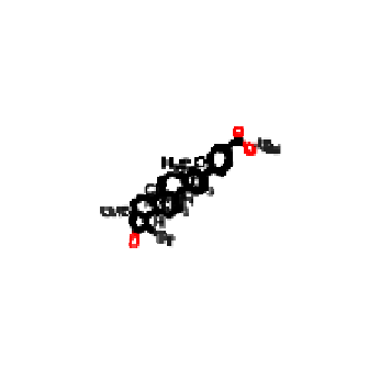 CC(C)C1=C2[C@H]3CC[C@@H]4[C@@]5(C)CC=C(c6ccc(C(=O)OC(C)(C)C)cc6)C(C)(C)[C@@H]5CC[C@@]4(C)[C@]3(C)CC[C@@]2(C=O)CC1=O